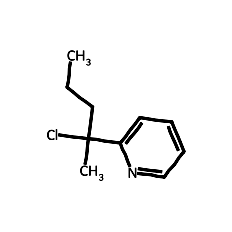 CCCC(C)(Cl)c1ccccn1